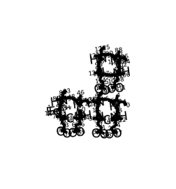 C=CC1=C(C)c2cc3[nH]c(cc4nc(cc5[nH]c(cc1n2)c(C)c5CCC(=O)[O-])C(CCC(=O)[O-])=C4C)c(C)c3C=C.C=CC1=C(C)c2cc3[nH]c(cc4nc(cc5[nH]c(cc1n2)c(C)c5CCC(=O)[O-])C(CCC(=O)[O-])=C4C)c(C)c3C=C.C=CC1=C(C)c2cc3[nH]c(cc4nc(cc5[nH]c(cc1n2)c(C)c5CCC(=O)[O-])C(CCC(=O)[O-])=C4C)c(C)c3C=C.[Fe+3].[Fe+3]